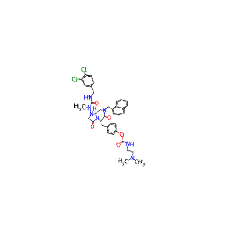 CN(C)CCNC(=O)Oc1ccc(C[C@H]2C(=O)N(Cc3cccc4ccccc34)C[C@H]3N2C(=O)CN3N(C)C(=O)NCc2ccc(Cl)c(Cl)c2)cc1